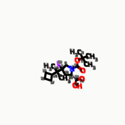 CC(C)(C)OC(=O)N1C[C@@](I)(C(C)(C)C2CCC2)C[C@H]1C(=O)O